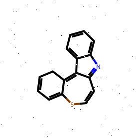 C1=CCC2=C3C(=Nc4ccccc43)C=CSC2=C1